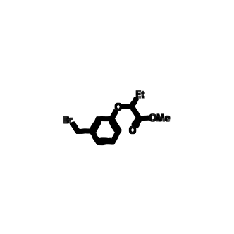 CCC(Oc1cccc(CBr)c1)C(=O)OC